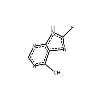 Cc1ncnc2[nH]c(F)nc12